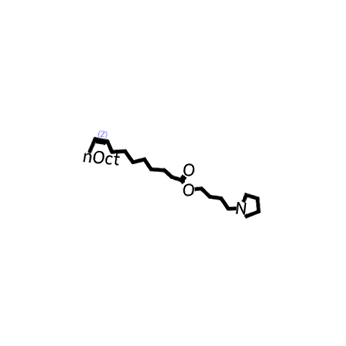 CCCCCCCC/C=C\CCCCCCCC(=O)OCCCCN1CCCC1